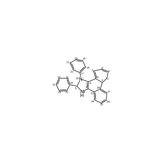 C1=CCC2C(=C1)C1=C(NC(c3ccccc3)N1c1ccccc1)c1ccccc12